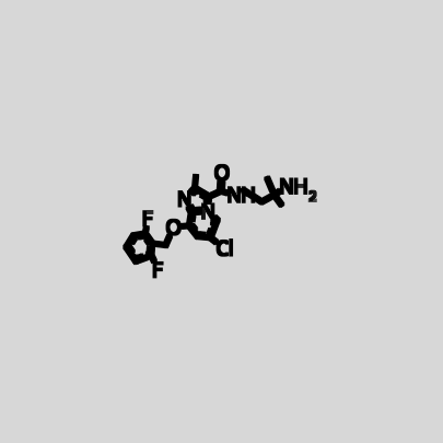 Cc1nc2c(OCc3c(F)cccc3F)cc(Cl)cn2c1C(=O)NCCC(C)(C)N